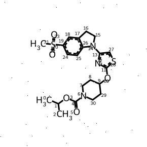 CC(C)OC(=O)N1CCC(Oc2nc(N3CCc4cc(S(C)(=O)=O)ccc43)cs2)CC1